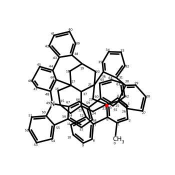 Cc1ccccc1-c1ccccc1C12CCCC34CC(CC5(CC(C1)c1ccccc1-c1ccccc15)C23)c1ccccc1-c1cccc(-n2c3ccccc3c3ccc(-c5ccccc5)cc32)c14